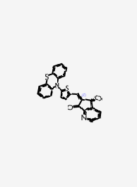 O=C1/C(=C/c2ccc(N3c4ccccc4Sc4ccccc43)s2)C(=O)c2ncccc21